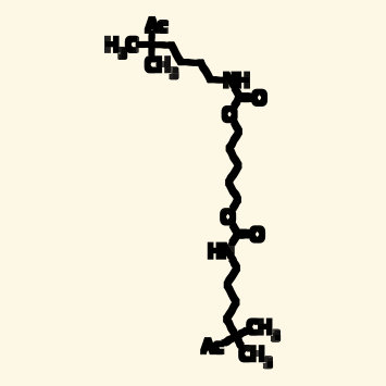 CC(=O)C(C)(C)CCCCNC(=O)OCCCCCOC(=O)NCCCCC(C)(C)C(C)=O